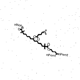 CCCCCCCCCOC(=O)C(C)(C)CCCCCC(CCCCCC(C)(C)C(=O)OCCCC(CCCCC)CCCCC)OC(=O)CCCN(C)C